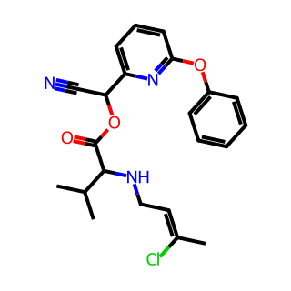 CC(Cl)=CCNC(C(=O)OC(C#N)c1cccc(Oc2ccccc2)n1)C(C)C